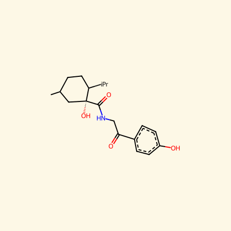 CC1CCC(C(C)C)[C@@](O)(C(=O)NCC(=O)c2ccc(O)cc2)C1